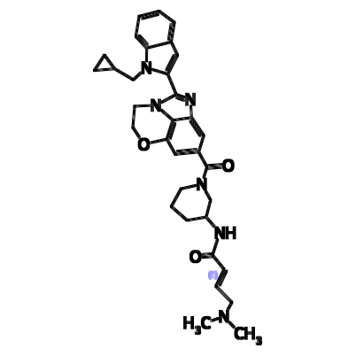 CN(C)C/C=C/C(=O)NC1CCCN(C(=O)c2cc3c4c(c2)nc(-c2cc5ccccc5n2CC2CC2)n4CCO3)C1